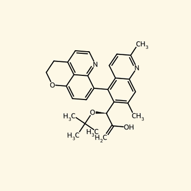 C=C(O)[C@@H](OC(C)(C)C)c1c(C)cc2nc(C)ccc2c1-c1ccc2c3c(ccnc13)CCO2